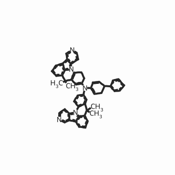 CC1(C)C2=C(CCC(N(C3=CCC(c4ccccc4)C=C3)c3ccc4c(c3)C(C)(C)c3cccc5c6cnccc6n-4c35)=C2)n2c3ccncc3c3cccc1c32